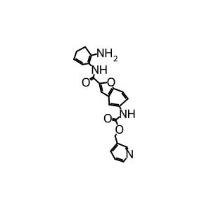 NC1=C(NC(=O)c2cc3cc(NC(=O)OCc4cccnc4)ccc3o2)C=CCC1